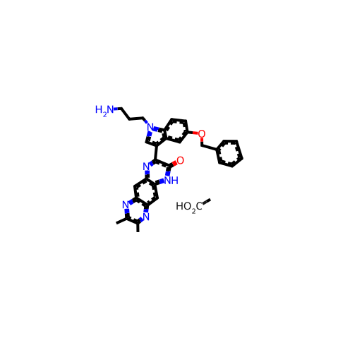 CC(=O)O.Cc1nc2cc3nc(-c4cn(CCCN)c5ccc(OCc6ccccc6)cc45)c(=O)[nH]c3cc2nc1C